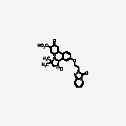 CC1(C)C[C@@H](Cl)C2c3cc(OCCn4nc5ccccn5c4=O)ccc3-c3cc(=O)c(C(=O)O)cn3N21